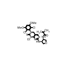 C=C(C)C(=O)N[C@H]1COC[C@H]1Nc1ncc2c(n1)N(CC)C(=S)N(c1c(Cl)c(OC)cc(OC)c1Cl)C2